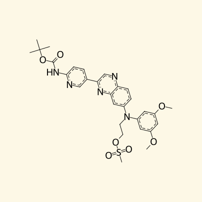 COc1cc(OC)cc(N(CCOS(C)(=O)=O)c2ccc3ncc(-c4ccc(NC(=O)OC(C)(C)C)nc4)nc3c2)c1